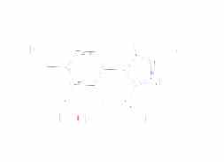 CCCNc1[nH]c(C(=O)O)c(Br)c1-c1ccc(CO)c(CO)c1CO